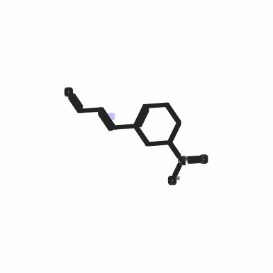 O=C/C=C/C1=CCCC([N+](=O)[O-])C1